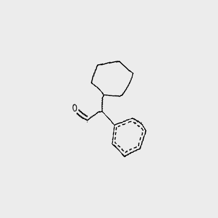 O=[C]C(c1ccccc1)C1CCCCC1